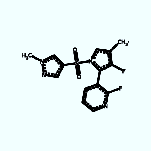 [CH2]c1cn(S(=O)(=O)c2cnn(C)c2)c(-c2cccnc2F)c1F